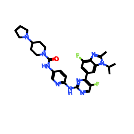 Cc1nc2c(F)cc(-c3nc(Nc4ccc(NC(=O)N5CCC(N6CCCC6)CC5)cn4)ncc3F)cc2n1C(C)C